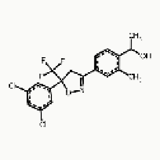 Cc1cc(C2=NOC(c3cc(Cl)cc(Cl)c3)(C(F)(F)F)C2)ccc1C(C)O